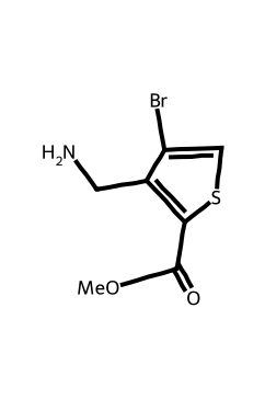 COC(=O)c1scc(Br)c1CN